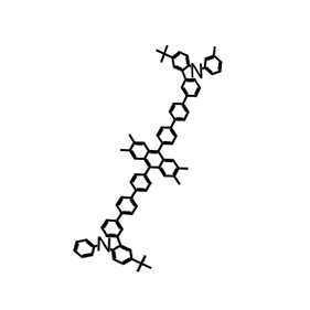 Cc1cccc(-n2c3ccc(-c4ccc(-c5ccc(-c6c7cc(C)c(C)cc7c(-c7ccc(-c8ccc(-c9ccc%10c(c9)c9cc(C(C)(C)C)ccc9n%10-c9ccccc9)cc8)cc7)c7cc(C)c(C)cc67)cc5)cc4)cc3c3cc(C(C)(C)C)ccc32)c1